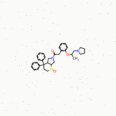 CC(CN1CCCC1)Oc1ccccc1CC(=O)N1CC2C(C1)C(c1ccccc1)(c1ccccc1)CC[S+]2[O-]